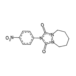 O=c1n(-c2ccc([N+](=O)[O-])cc2)c(=O)n2n1CCCCC2